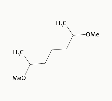 COC(C)CCCC(C)OC